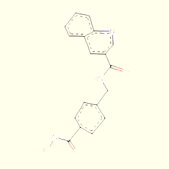 O=C(NO)c1ccc(CNC(=O)c2cnc3ccccc3c2)cc1